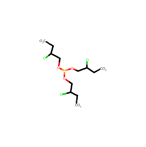 ClC(COP(OCC(Cl)CC(Cl)(Cl)Cl)OCC(Cl)CC(Cl)(Cl)Cl)CC(Cl)(Cl)Cl